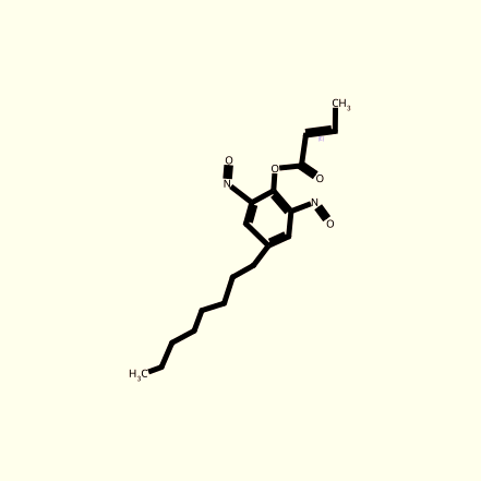 C/C=C/C(=O)Oc1c(N=O)cc(CCCCCCCC)cc1N=O